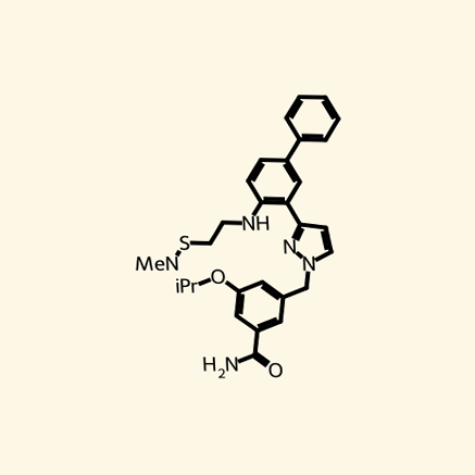 CNSCCNc1ccc(-c2ccccc2)cc1-c1ccn(Cc2cc(OC(C)C)cc(C(N)=O)c2)n1